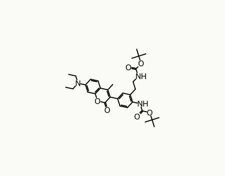 CCN(CC)c1ccc2c(C)c(-c3ccc(NC(=O)OC(C)(C)C)c(CCNC(=O)OC(C)(C)C)c3)c(=O)oc2c1